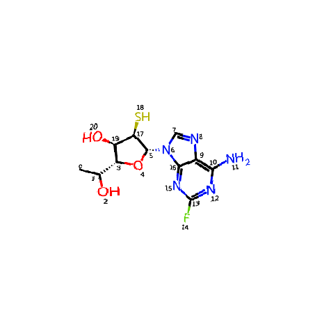 CC(O)[C@H]1O[C@@H](n2cnc3c(N)nc(F)nc32)[C@H](S)[C@@H]1O